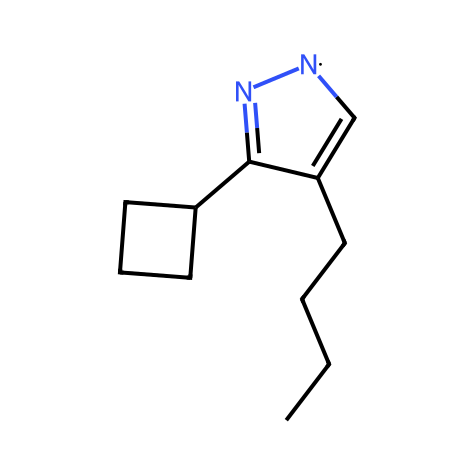 CCCCC1=C[N]N=C1C1CCC1